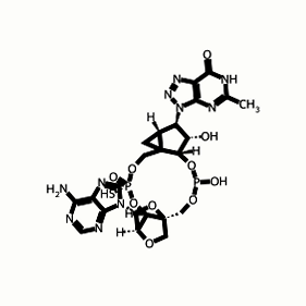 Cc1nc2c(nnn2[C@H]2[C@H](O)[C@@H]3OP(O)OC[C@@]45CO[C@@H]([C@H](n6cnc7c(N)ncnc76)O4)[C@@H]5O[P@](=O)(S)OCC34C[C@H]24)c(=O)[nH]1